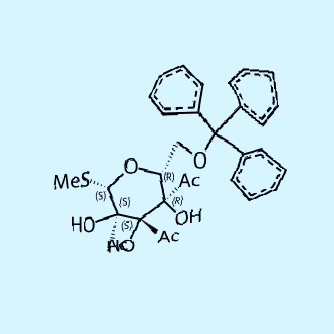 CS[C@@H]1O[C@H](COC(c2ccccc2)(c2ccccc2)c2ccccc2)[C@](O)(C(C)=O)[C@@](O)(C(C)=O)[C@]1(O)C(C)=O